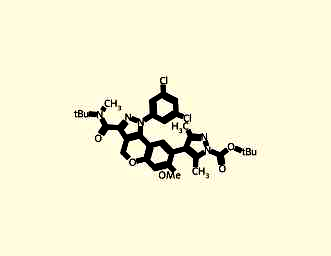 COc1cc2c(cc1-c1c(C)nn(C(=O)OC(C)(C)C)c1C)-c1c(c(C(=O)N(C)C(C)(C)C)nn1-c1cc(Cl)cc(Cl)c1)CO2